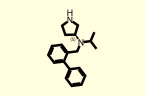 CC(C)N(Cc1ccccc1-c1ccccc1)[C@H]1CCNC1